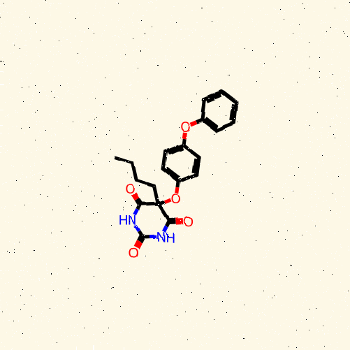 CCCCC1(Oc2ccc(Oc3ccccc3)cc2)C(=O)NC(=O)NC1=O